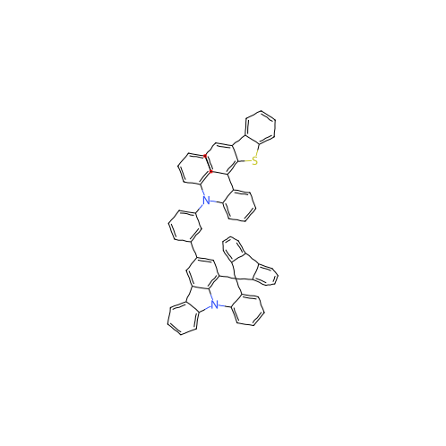 c1ccc(N(c2cccc(-c3cc4c5c(c3)c3ccccc3n5-c3ccccc3C43c4ccccc4-c4ccccc43)c2)c2ccccc2-c2cccc3c2sc2ccccc23)cc1